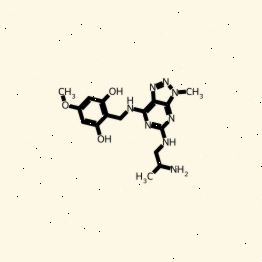 COc1cc(O)c(CNc2nc(NCC(C)N)nc3c2nnn3C)c(O)c1